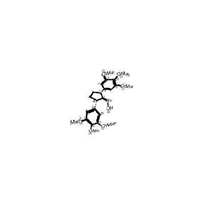 COc1cc([C@@H]2CC[C@@H](c3cc(OC)c(OC)c(OC)c3)C2=NO)cc(OC)c1OC